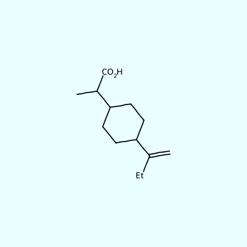 C=C(CC)C1CCC(C(C)C(=O)O)CC1